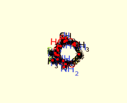 COc1ccc(C[C@@H]2NC(=O)[C@@H]([C@H](C)O)NC(=O)[C@H]3CCCN3C(=O)[C@H](Cc3c[nH]c4ccc(F)cc34)NC(=O)[C@H](Cc3c[nH]c4ccc(F)cc34)NC(=O)[C@@H](C)NC(=O)[C@H](CCCCN)NC(=O)CCSCc3cccc(c3)CSCCNC(=O)[C@]3(C)CCCN3C2=O)cc1